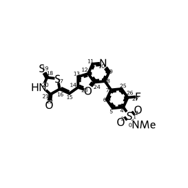 CNS(=O)(=O)c1ccc(-c2cncc3cc(/C=C4\SC(=S)NC4=O)oc23)cc1F